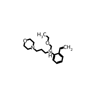 C=Cc1ccccc1[SiH](CCCN1CCOCC1)COCC